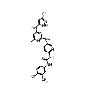 Cc1cc(Nc2cc(Cl)n[nH]2)nc(Nc2ccc(NC(=S)Nc3ccc(Cl)c(C(F)(F)F)c3)nc2)n1